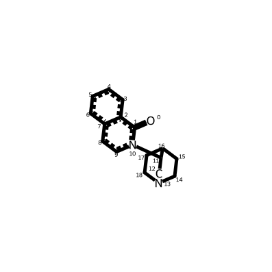 O=c1c2ccccc2ccn1C1CN2CCC1CC2